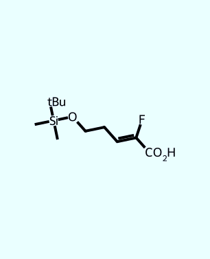 CC(C)(C)[Si](C)(C)OCCC=C(F)C(=O)O